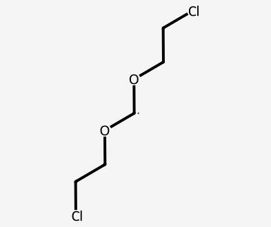 ClCCO[CH]OCCCl